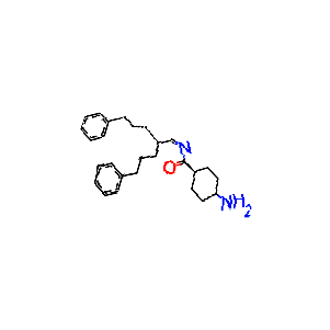 N[C@H]1CC[C@@H](C(=O)/N=C\C(CCCc2ccccc2)CCCc2ccccc2)CC1